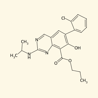 CCCOC(=O)c1c(O)c(-c2ccccc2Cl)cc2cnc(NC(C)C)nc12